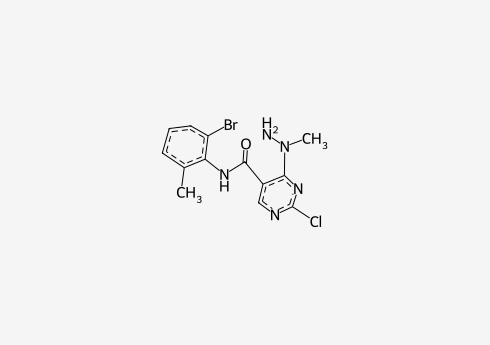 Cc1cccc(Br)c1NC(=O)c1cnc(Cl)nc1N(C)N